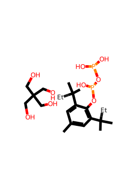 CCC(C)(C)c1cc(C)cc(C(C)(C)CC)c1OP(O)OP(O)O.OCC(CO)(CO)CO